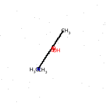 CCCCCC=CCC=CCCCCCCCC(CCCCCCCC=CCC=CCCCCCCCCCN(C)C)OC(=O)O